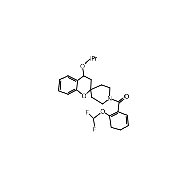 CC(C)OC1CC2(CCN(C(=O)C3=C(OC(F)F)CCC=C3)CC2)Oc2ccccc21